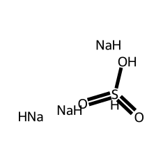 O=[SH](=O)O.[NaH].[NaH].[NaH]